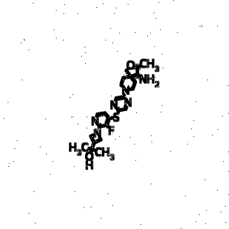 C[C@@H]1OCC2(CCN(c3cnc(Sc4ccnc(N5CC(C(C)(C)O)C5)c4F)cn3)CC2)[C@@H]1N